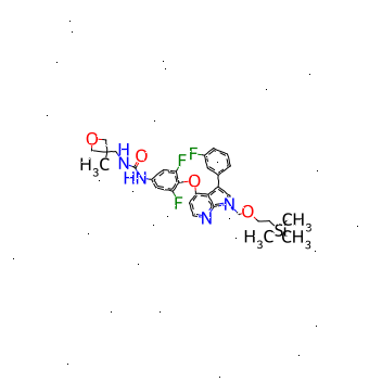 CC1(CNC(=O)Nc2cc(F)c(Oc3ccnc4c3c(-c3cccc(F)c3)cn4COCC[Si](C)(C)C)c(F)c2)COC1